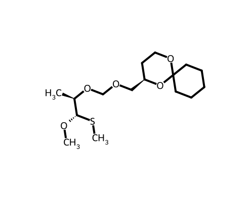 CO[C@@H](SC)[C@@H](C)OCOC[C@H]1CCOC2(CCCCC2)O1